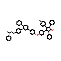 Cc1ccc(C2=C(c3ccccc3)C(=O)C(c3ccccc3)=C2c2ccc(Oc3ccc(-c4ccc(-c5ccccc5)c(-c5ccc(CCC(C)c6ccccc6)cc5)c4)cc3)cc2)cc1